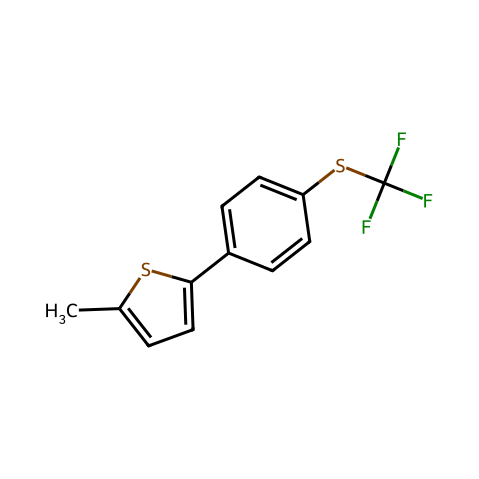 Cc1ccc(-c2ccc(SC(F)(F)F)cc2)s1